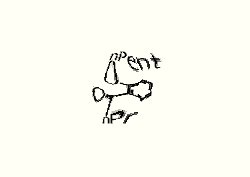 CCCCCOc1ccccc1C(=O)CCC